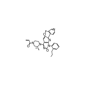 C=CC(=O)N1CCN(c2nc(=O)n(-c3ccccc3CCC)c3nc(-c4ccncc4F)c(Cl)cc23)[C@@H](C)C1